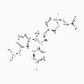 CC(=O)NCC1(C)COC(c2nc(-c3ccc(F)cc3)c(-c3ccnc(OC(C)C)n3)[nH]2)OC1